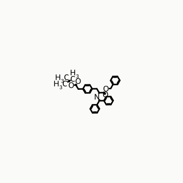 CC(C)(C)OC(=O)Cc1ccc(CC(N=C(c2ccccc2)c2ccccc2)C(=O)OCc2ccccc2)cc1